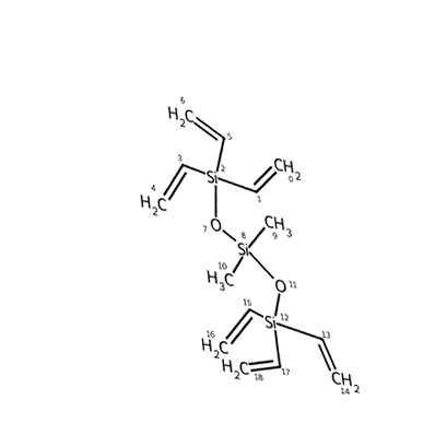 C=C[Si](C=C)(C=C)O[Si](C)(C)O[Si](C=C)(C=C)C=C